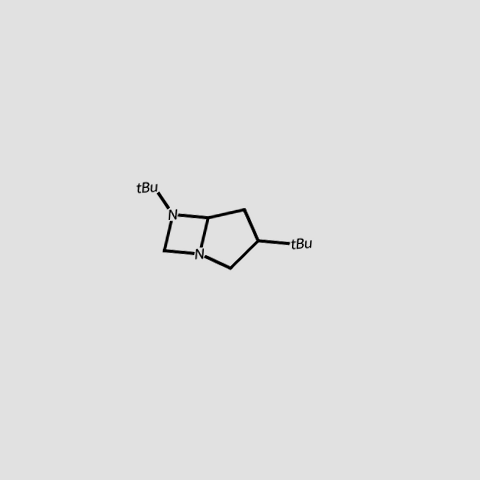 CC(C)(C)C1CC2N(C1)CN2C(C)(C)C